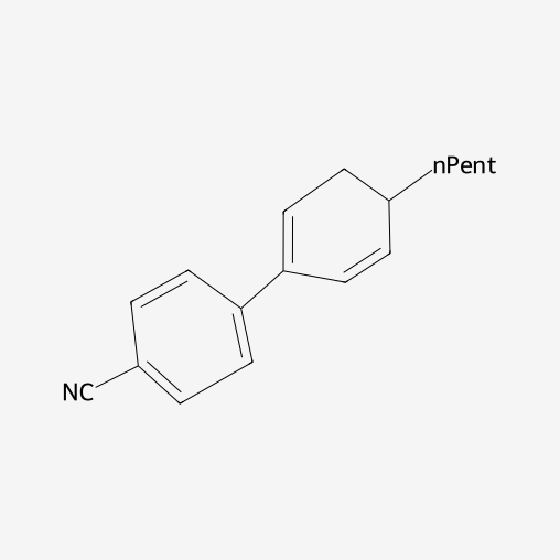 CCCCCC1C=CC(c2ccc(C#N)cc2)=CC1